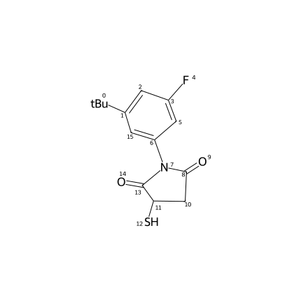 CC(C)(C)c1cc(F)cc(N2C(=O)CC(S)C2=O)c1